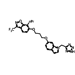 CCCc1c(OCCCOc2ccc3ccn(Cc4nn[nH]n4)c3c2)ccc2c(C(F)(F)F)noc12